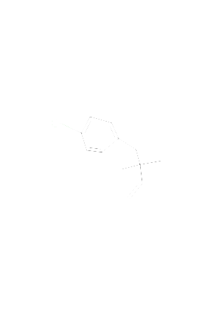 C=CC(C)(C)Cc1ccc(Cl)cc1